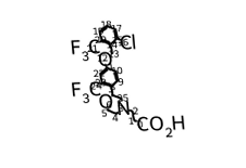 O=C(O)CCN1CCOC(c2ccc(OCc3c(Cl)cccc3C(F)(F)F)cc2C(F)(F)F)C1